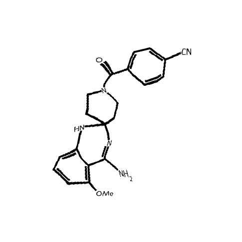 COc1cccc2c1C(N)=NC1(CCN(C(=O)c3ccc(C#N)cc3)CC1)N2